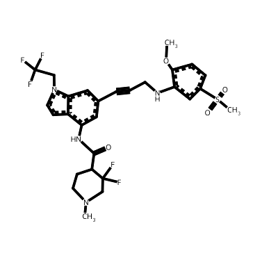 COc1ccc(S(C)(=O)=O)cc1NCC#Cc1cc(NC(=O)C2CCN(C)CC2(F)F)c2ccn(CC(F)(F)F)c2c1